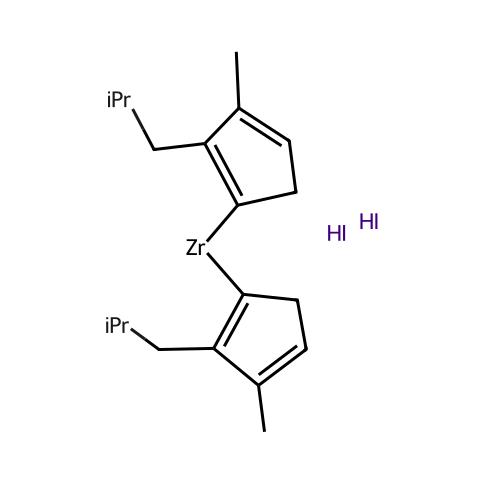 CC1=CC[C]([Zr][C]2=C(CC(C)C)C(C)=CC2)=C1CC(C)C.I.I